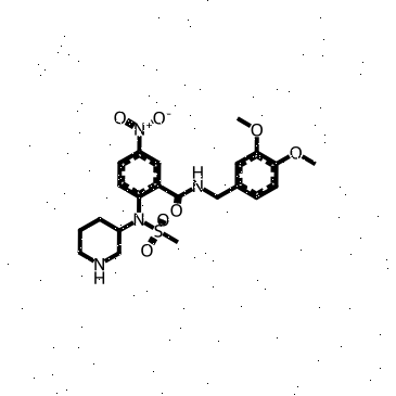 COc1ccc(CNC(=O)c2cc([N+](=O)[O-])ccc2N(C2CCCNC2)S(C)(=O)=O)cc1OC